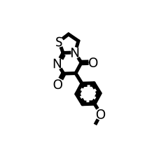 COc1ccc(C2C(=O)N=C3SCCN3C2=O)cc1